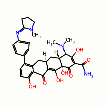 CN1CCCC1=Nc1ccc(-c2ccc(O)c3c2C[C@H]2C[C@@H]4[C@@H](N(C)C)C(O)=C(C(N)=O)C(=O)[C@@]4(O)C(O)=C2C3=O)cc1